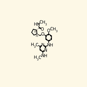 CNC(=O)[C@H]1CCC[C@@H]1COc1cc(Nc2nc(C)cc(NC)n2)ccc1OC